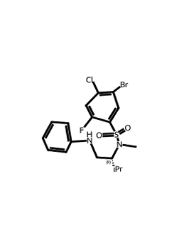 CC(C)[C@H](CNc1ccccc1)N(C)S(=O)(=O)c1cc(Br)c(Cl)cc1F